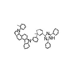 Cc1ccccc1-n1ccc2ccc3c(ccc4c3c3ccccc3n4-c3cccc(C4(C)C=C(C5=NC(c6ccccc6)NC(c6ccccc6)=N5)C=CC4)c3)c21